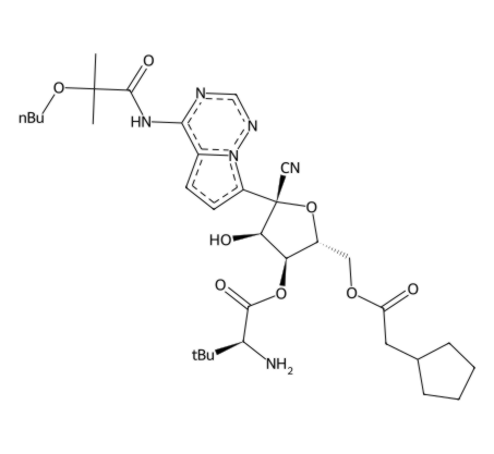 CCCCOC(C)(C)C(=O)Nc1ncnn2c([C@]3(C#N)O[C@H](COC(=O)CC4CCCC4)[C@@H](OC(=O)[C@@H](N)C(C)(C)C)[C@H]3O)ccc12